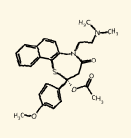 COc1ccc([C@]2(OC(C)=O)CC(=O)N(CCN(C)C)c3ccc4ccccc4c3S2)cc1